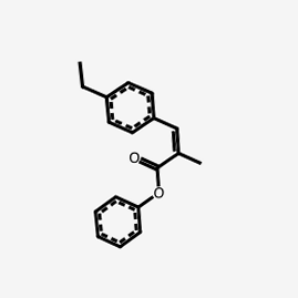 CCc1ccc(C=C(C)C(=O)Oc2ccccc2)cc1